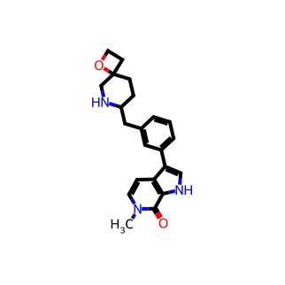 Cn1ccc2c(-c3cccc(CC4CCC5(CCO5)CN4)c3)c[nH]c2c1=O